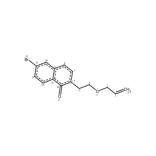 C=CCOCCn1ccc2cc(Br)ccc2c1=O